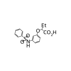 CCC(Oc1cccc(NS(=O)(=O)c2ccccc2)c1)C(=O)O